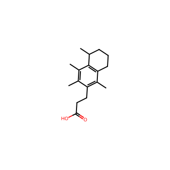 Cc1c(C)c2c(c(C)c1CCC(=O)O)CCCC2C